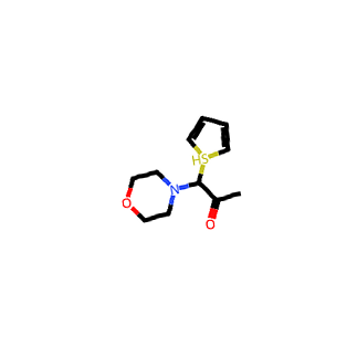 CC(=O)C(N1CCOCC1)[SH]1C=CC=C1